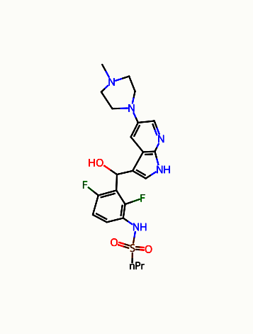 CCCS(=O)(=O)Nc1ccc(F)c(C(O)c2c[nH]c3ncc(N4CCN(C)CC4)cc23)c1F